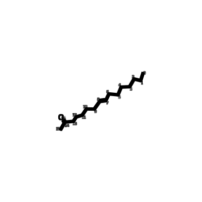 CCCCCCC/C=C/CCCCCC(C)=O